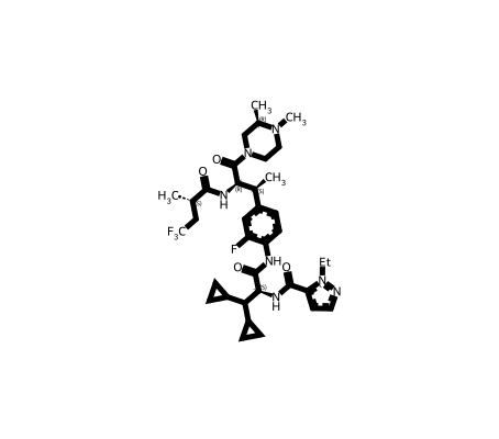 CCn1nccc1C(=O)N[C@H](C(=O)Nc1ccc([C@H](C)[C@@H](NC(=O)[C@@H](C)CC(F)(F)F)C(=O)N2CCN(C)[C@H](C)C2)cc1F)C(C1CC1)C1CC1